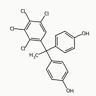 CC(c1ccc(O)cc1)(c1ccc(O)cc1)c1cc(Cl)c(Cl)c(Cl)c1Cl